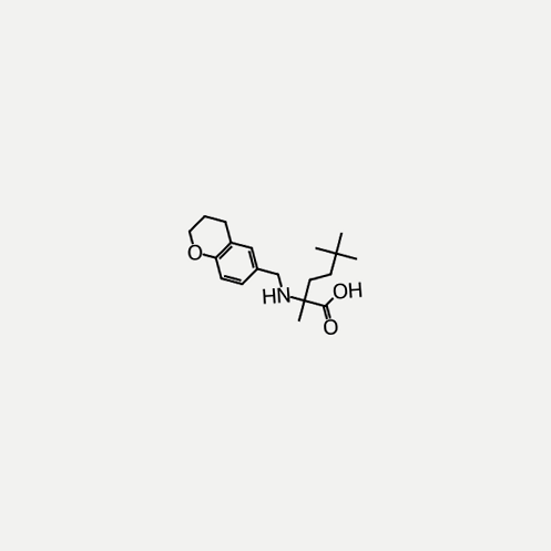 CC(C)(C)CCC(C)(NCc1ccc2c(c1)CCCO2)C(=O)O